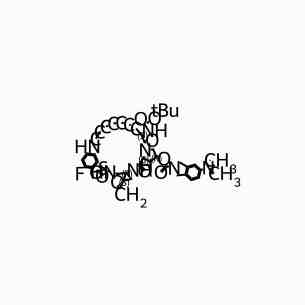 C=C[C@@H]1C[C@@]12NC(=O)[C@@H]1C[C@@H](OC(=O)N3Cc4ccc(N(C)C)cc4C3)CN1C(=O)[C@@H](NC(=O)OC(C)(C)C)CCCCCCCNc1ccc(F)cc1S(=O)(=O)NC2=O